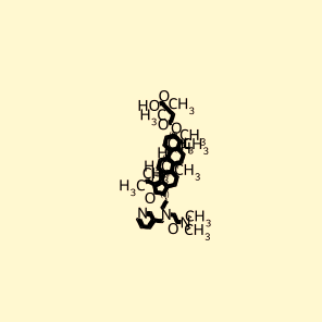 CC(C)C1=C2C(CC[C@]3(C)[C@@H]2CC[C@@H]2[C@@]4(C)CC[C@H](OC(=O)CC(C)(C)C(=O)O)C(C)(C)[C@@H]4CC[C@]23C)[C@H](CCN(CC(=O)N(C)C)Cc2cccnc2)C1=O